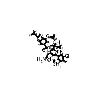 CCOc1c(CC(N)=O)cc([C@@](O)(CNC(=O)c2cc(OC3CC3)c3nc(C4CC4)sc3c2)C2CC2)nc1-c1ccc(F)c(Cl)c1F